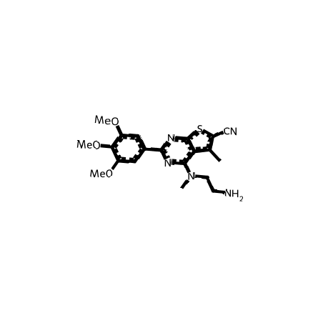 COc1cc(-c2nc(N(C)CCN)c3c(C)c(C#N)sc3n2)cc(OC)c1OC